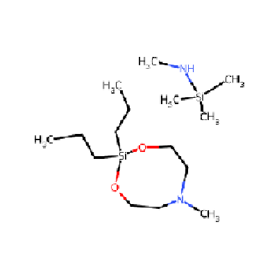 CCC[Si]1(CCC)OCCN(C)CCO1.CN[Si](C)(C)C